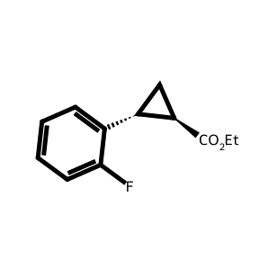 CCOC(=O)[C@@H]1C[C@H]1c1ccccc1F